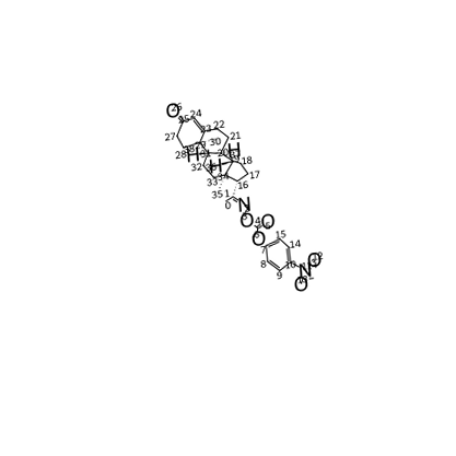 C/C(=N\OC(=O)Oc1ccc([N+](=O)[O-])cc1)[C@H]1CC[C@H]2[C@@H]3CCC4=CC(=O)CC[C@]4(C)[C@H]3CC[C@]12C